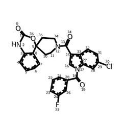 O=C1Nc2ccccc2C2(CCN(C(=O)c3cn(C(=O)c4cccc(F)c4)c4cc(Cl)ccc34)CC2)O1